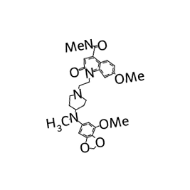 CNC(=O)c1cc(=O)n(CCN2CCC(N(C)c3cc(OC)c4c(c3)OCO4)CC2)c2cc(OC)ccc12